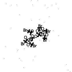 CC(C)(Br)C(=O)COC(COCC(COC(=O)C(C)(C)Br)(COC(=O)C(C)(C)Br)COC(=O)C(C)(C)Br)(COC(=O)C(C)(C)Br)COC(=O)C(C)(C)Br